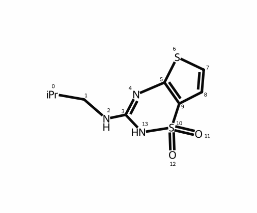 CC(C)CNC1=Nc2sccc2S(=O)(=O)N1